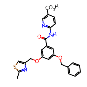 Cc1nc(COc2cc(OCc3ccccc3)cc(C(=O)Nc3ccc(C(=O)O)cn3)c2)cs1